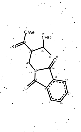 COC(=O)C(CN1C(=O)c2ccccc2C1=O)C(C)C=O